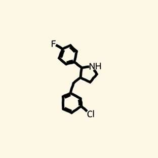 Fc1ccc(C2NCCC2Cc2cccc(Cl)c2)cc1